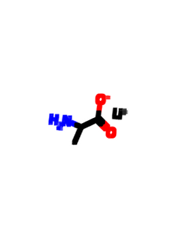 CC(N)C(=O)[O-].[Li+]